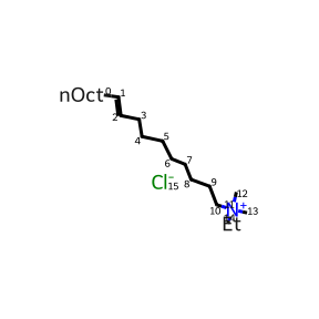 CCCCCCCCC=CCCCCCCCC[N+](C)(C)CC.[Cl-]